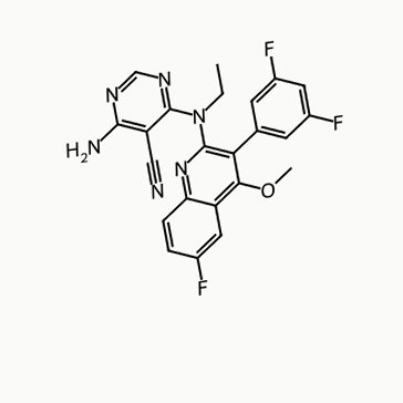 CCN(c1ncnc(N)c1C#N)c1nc2ccc(F)cc2c(OC)c1-c1cc(F)cc(F)c1